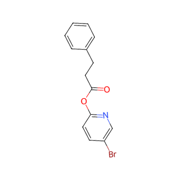 O=C(CCc1ccccc1)Oc1ccc(Br)cn1